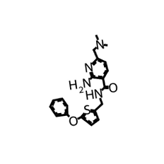 CN(C)Cc1ccc(C(=O)NCc2ccc(Oc3ccccc3)s2)c(N)n1